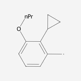 [CH2]c1cccc(OCCC)c1C1CC1